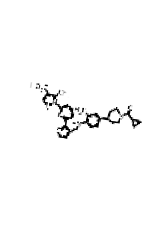 Cc1cc(C2CCN(C(=O)C3CC3)CC2)ccc1NCc1ccsc1-c1cccc(-n2ncc(C(=O)O)c2C(F)(F)F)n1